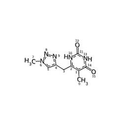 Cc1c(Cc2cn(C)nn2)[nH]c(=O)[nH]c1=O